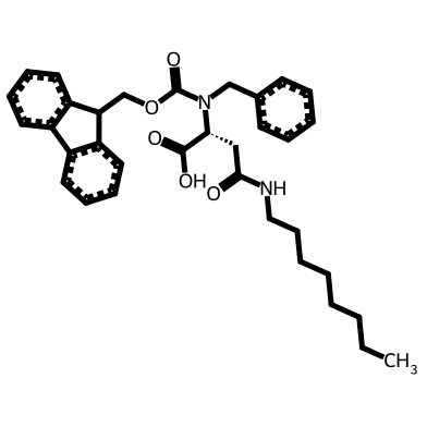 CCCCCCCCNC(=O)C[C@H](C(=O)O)N(Cc1ccccc1)C(=O)OCC1c2ccccc2-c2ccccc21